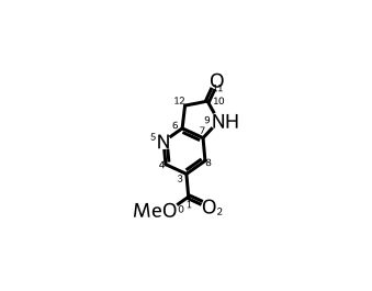 COC(=O)c1cnc2c(c1)NC(=O)C2